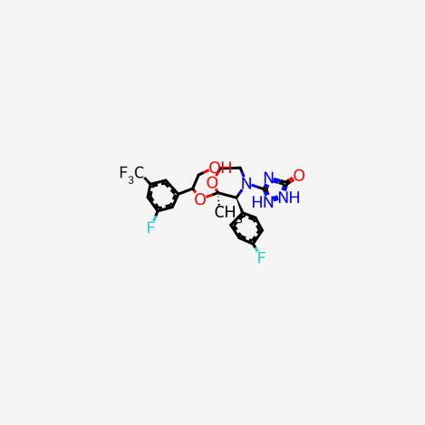 C[C@]1(OC(CO)c2cc(F)cc(C(F)(F)F)c2)OCCN(c2nc(=O)[nH][nH]2)[C@H]1c1ccc(F)cc1